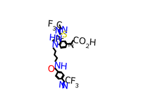 CC(C)CN(CCCCCNC(=O)c1ccc(C2(C(F)(F)F)N=N2)cc1)c1ccc([C@H](C)CC(=O)O)cc1Nc1nc(C(F)(F)F)ns1